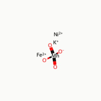 [Fe+2].[K+].[Ni+2].[O]=[Mn](=[O])([O-])[O-]